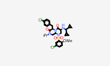 COc1ccc(Cl)cc1S(=O)(=O)N1CC(NC(C2CC2)C2CC2)C(=O)N2C(Cc3ccc(Cl)cc3)C(=O)N(C(C)C)CC21